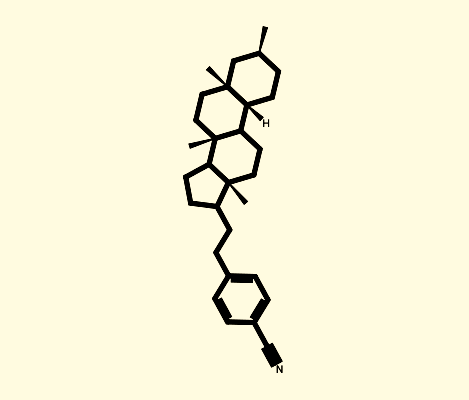 C[C@H]1CC[C@@H]2C3CC[C@]4(C)C(CCc5ccc(C#N)cc5)CCC4[C@]3(C)CC[C@]2(C)C1